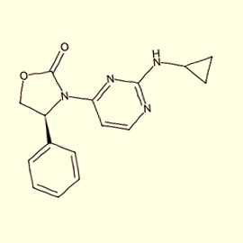 O=C1OC[C@H](c2ccccc2)N1c1ccnc(NC2CC2)n1